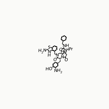 CC(C)N(C(=O)NCc1ccccc1)N1CC(=O)N2[C@@H](Cc3ccc(O)c(N)c3)C(=O)N(Cc3cccc4c3NC(N)S4)C[C@@H]21